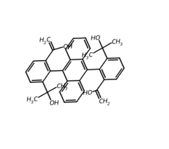 C=C(O)c1cccc(C(C)(C)O)c1-c1c2ccccc2c(-c2c(C(=C)O)cccc2C(C)(C)O)c2ccccc12